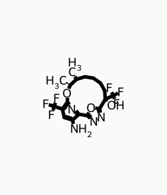 CC1CCCC[C@](O)(C(F)(F)F)c2nnc(o2)-c2nc(c(C(F)(F)F)cc2N)O[C@@H]1C